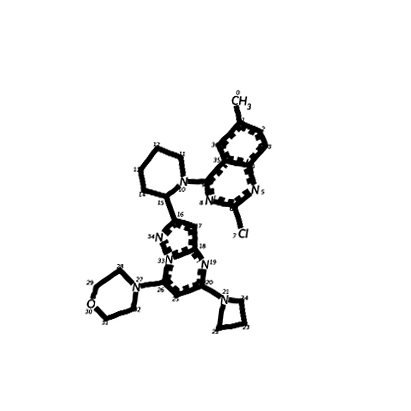 Cc1ccc2nc(Cl)nc(N3CCCCC3c3cc4nc(N5CCC5)cc(N5CCOCC5)n4n3)c2c1